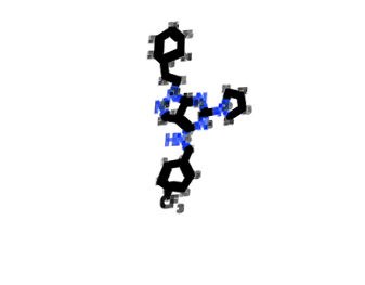 FC(F)(F)c1ccc(CNc2nc(N3CCCC3)nc3c2cnn3CCc2ccccc2)cc1